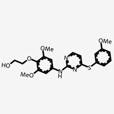 COc1cccc(Sc2ccnc(Nc3cc(OC)c(OCCO)c(OC)c3)n2)c1